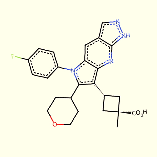 C[C@]1(C(=O)O)C[C@H](c2c(C3CCOCC3)n(-c3ccc(F)cc3)c3cc4cn[nH]c4nc32)C1